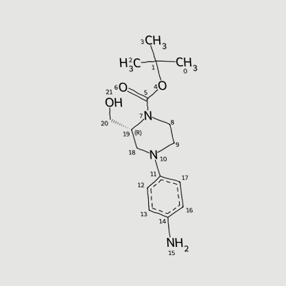 CC(C)(C)OC(=O)N1CCN(c2ccc(N)cc2)C[C@@H]1CO